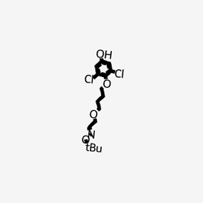 CC(C)(C)O/N=C/COCCCCOc1c(Cl)cc(O)cc1Cl